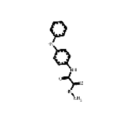 NNC(=O)C(=O)Nc1ccc(Nc2ccccc2)cc1